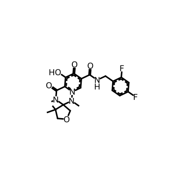 CN1C(=O)c2c(O)c(=O)c(C(=O)NCc3ccc(F)cc3F)cn2N(C)C12COCC2(C)C